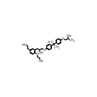 CC(O)COc1ccc(C(C)(C)c2ccc(OCC(O)Cc3cc(CCO)ccc3OCCO)cc2)cc1